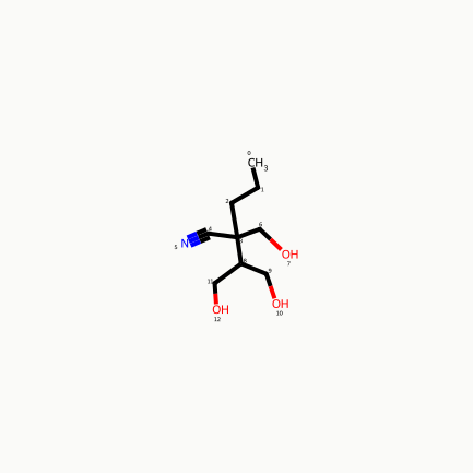 CCCC(C#N)(CO)C(CO)CO